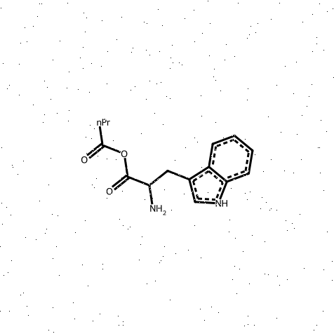 CCCC(=O)OC(=O)C(N)Cc1c[nH]c2ccccc12